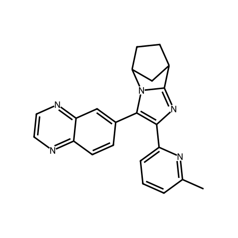 Cc1cccc(-c2nc3n(c2-c2ccc4nccnc4c2)C2CCC3C2)n1